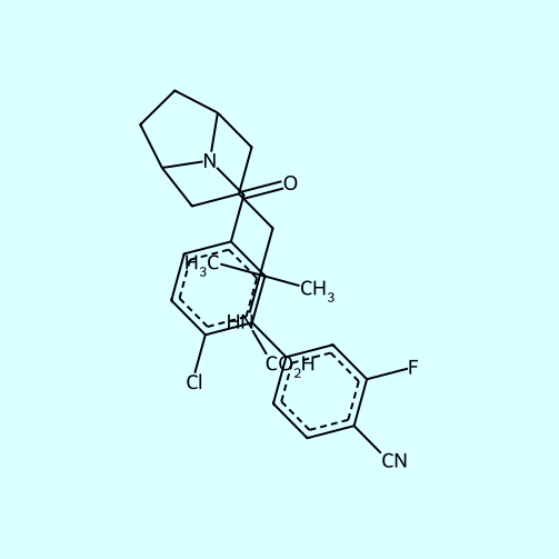 CC(C)(CC1CC2CCC(C1)N2C(=O)c1ccc(Cl)c(-c2ccc(C#N)c(F)c2)c1)NC(=O)O